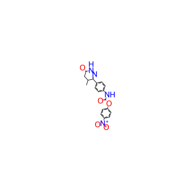 CC1CC(=O)NN=C1c1ccc(NC(=O)Oc2ccc([N+](=O)[O-])cc2)cc1